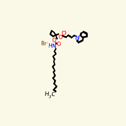 CCCCCCCCCCCCCCCCCCNC(=O)OCC1(COC(=O)CCCC[n+]2cccc3ccccc32)CCCC1.[Br-]